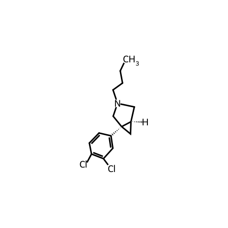 CCCCN1C[C@H]2C[C@@]2(c2ccc(Cl)c(Cl)c2)C1